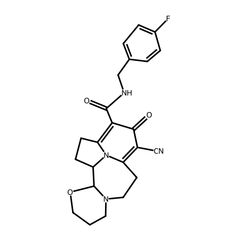 N#Cc1c2n3c(c(C(=O)NCc4ccc(F)cc4)c1=O)CCC3C1OCCCN1CC2